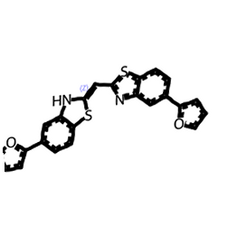 C(=C1\Nc2cc(-c3ccco3)ccc2S1)/c1nc2cc(-c3ccco3)ccc2s1